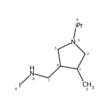 CC1CN(C(C)C)CC1CNI